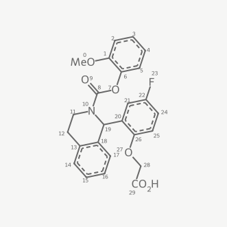 COc1ccccc1OC(=O)N1CCc2ccccc2C1c1cc(F)ccc1OCC(=O)O